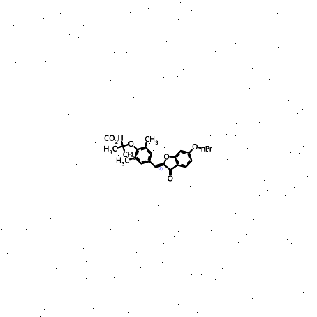 CCCOc1ccc2c(c1)O/C(=C\c1cc(C)c(OC(C)(C)C(=O)O)c(C)c1)C2=O